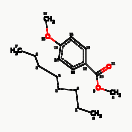 CCCCCCCC.COC(=O)c1ccc(OC)cc1